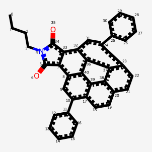 CCCCn1c(=O)c2c3cc(-c4ccccc4)c4ccc5ccc6c(-c7ccccc7)cc(c2c1=O)c1c6c5c4c31